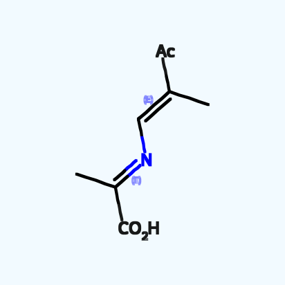 CC(=O)/C(C)=C/N=C(\C)C(=O)O